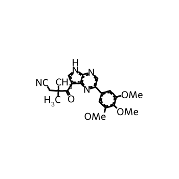 COc1cc(-c2cnc3[nH]cc(C(=O)C(C)(C)CC#N)c3n2)cc(OC)c1OC